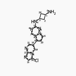 N[C@H]1C[C@@H](Nc2ncc3c(-c4cnc5ncc(Cl)n5c4)ccn3n2)C1